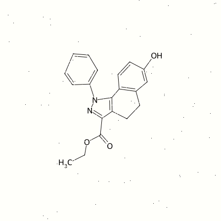 CCOC(=O)c1nn(-c2ccccc2)c2c1CCc1cc(O)ccc1-2